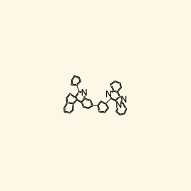 c1ccc(-c2nc3cc(-c4cccc(-c5nc6ccccc6c6nc7ccccn7c56)c4)ccc3c3c2ccc2ccccc23)cc1